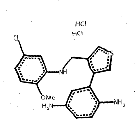 COc1ccc(Cl)cc1NCc1cscc1-c1cc(N)ccc1N.Cl.Cl